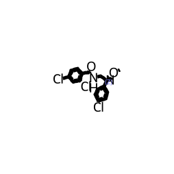 CO/N=C(\CNC(=O)c1ccc(Cl)cc1Cl)c1ccc(Cl)cc1